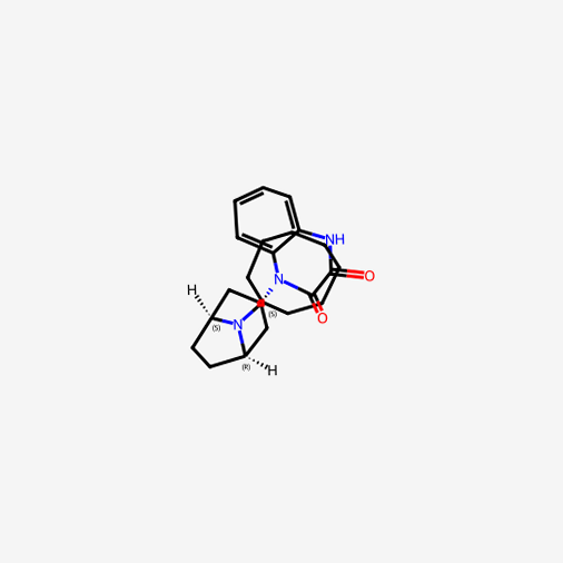 O=c1[nH]c2ccccc2n([C@@H]2C[C@H]3CC[C@@H](C2)N3C2CCCCCCC2)c1=O